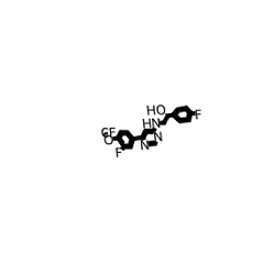 O[C@@H](CNc1cc(-c2ccc(OC(F)(F)F)c(F)c2)ncn1)c1ccc(F)cc1